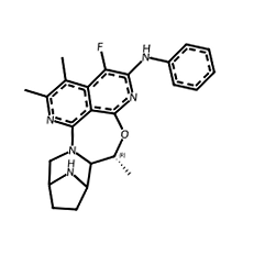 Cc1nc2c3c(nc(Nc4ccccc4)c(F)c3c1C)O[C@H](C)C1C3CCC(CN21)N3